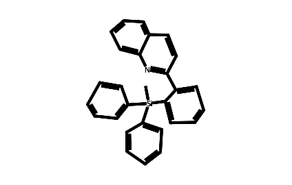 C[Si](c1ccccc1)(c1ccccc1)c1ccccc1-c1ccc2ccccc2n1